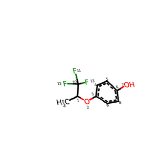 CC(Oc1ccc(O)cc1)C(F)(F)F